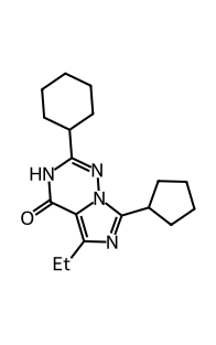 CCc1nc(C2CCCC2)n2nc(C3CCCCC3)[nH]c(=O)c12